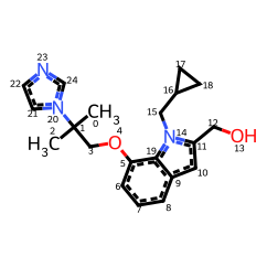 CC(C)(COc1cccc2cc(CO)n(CC3CC3)c12)n1ccnc1